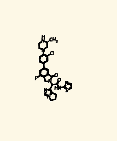 C[C@@H]1CN(c2ccc(-c3cc(F)c4c(c3)C(=O)N(C(C(=O)Nc3nccs3)c3ncn5c3CCC5)C4)cc2Cl)CCN1